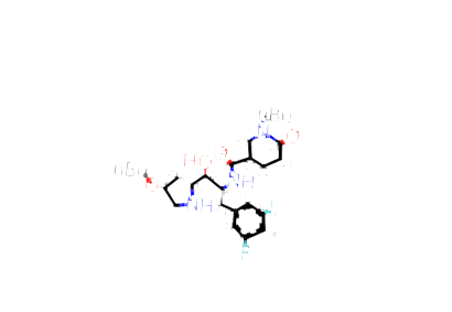 CCCCO[C@H]1CN[C@@H]([C@@H](O)[C@H](Cc2cc(F)cc(F)c2)NC(=O)C2CCC(=O)N(CCCC)C2)C1